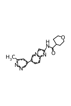 Cc1cc(-c2ccc3nc(NC(=O)C4CCOCC4)cn3c2)cnn1